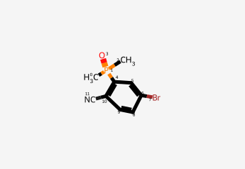 CP(C)(=O)c1cc(Br)ccc1C#N